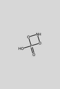 O=P1(O)ONO1